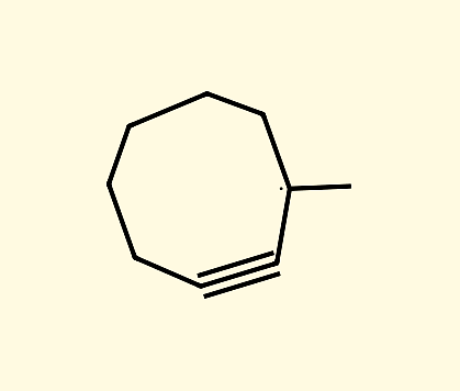 C[C]1C#CCCCCC1